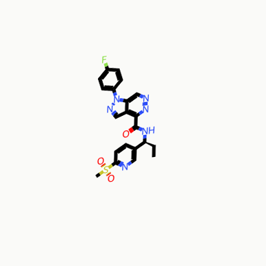 CC[C@H](NC(=O)c1nncc2c1cnn2-c1ccc(F)cc1)c1ccc(S(C)(=O)=O)nc1